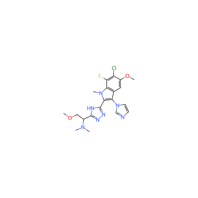 COCC(c1nnc(-c2c(-n3ccnc3)c3cc(OC)c(Cl)c(F)c3n2C)[nH]1)N(C)C